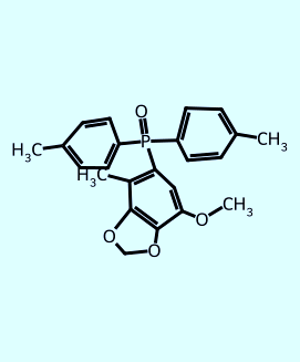 COc1cc(P(=O)(c2ccc(C)cc2)c2ccc(C)cc2)c(C)c2c1OCO2